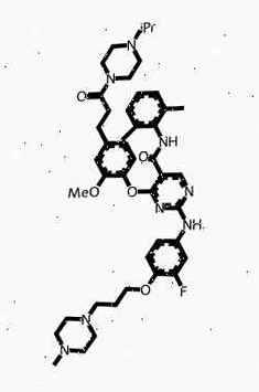 COc1cc(CCC(=O)N2CCN(C(C)C)CC2)ccc1Oc1nc(Nc2ccc(OCCCN3CCN(C)CC3)c(F)c2)ncc1C(=O)Nc1c(C)cccc1C